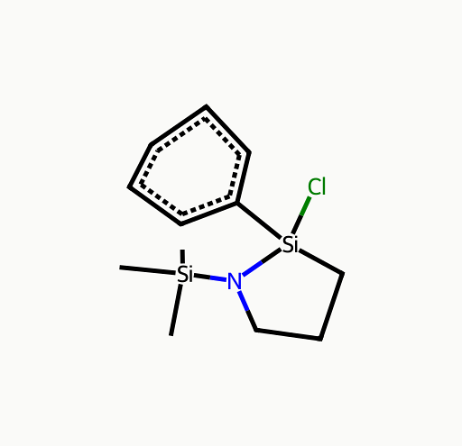 C[Si](C)(C)N1CCC[Si]1(Cl)c1ccccc1